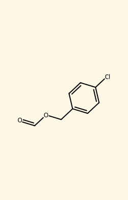 O=COCc1ccc(Cl)cc1